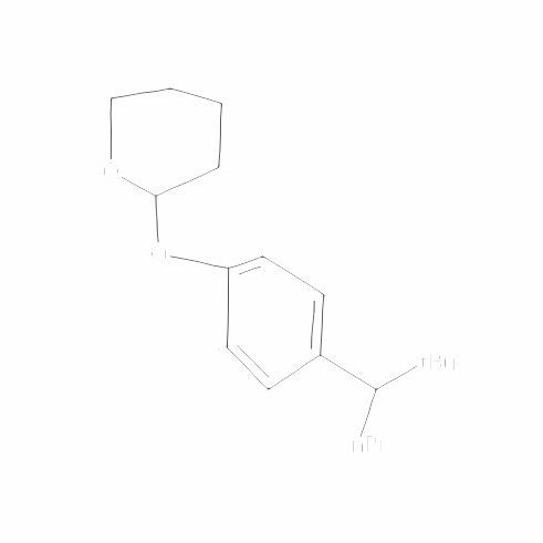 CCCC(c1ccc(OC2CCCCO2)cc1)C(C)(C)C